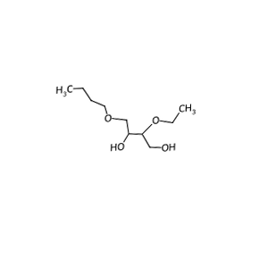 CCCCOCC(O)C(CO)OCC